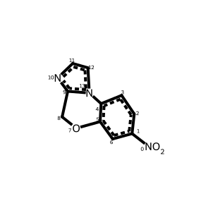 O=[N+]([O-])c1ccc2c(c1)OCc1nccn1-2